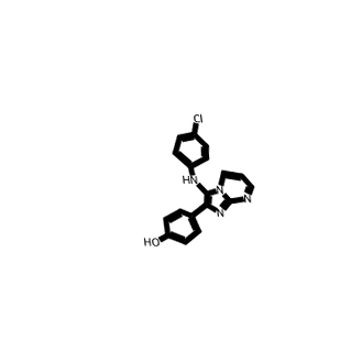 Oc1ccc(-c2nc3ncccn3c2Nc2ccc(Cl)cc2)cc1